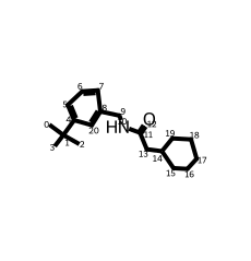 CC(C)(C)c1cccc(CNC(=O)CC2CCCCC2)c1